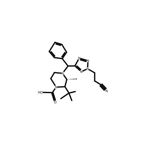 C[C@@H]1C(C(C)(C)C)N(C(=O)O)CCN1C(c1ccccc1)c1nnn(CCC#N)n1